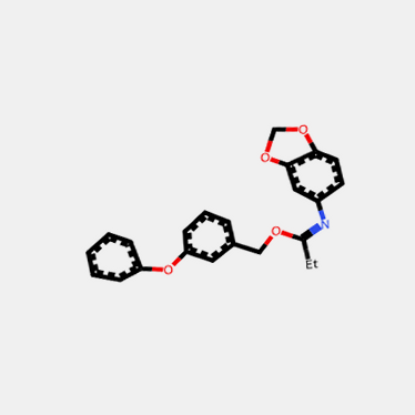 CCC(=Nc1ccc2c(c1)OCO2)OCc1cccc(Oc2ccccc2)c1